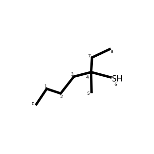 CCCCC(C)(S)CC